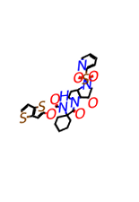 O=C(NC1(C(=O)N2CCC3C2C(=O)CN3S(=O)(=O)c2ccccn2)CCCCC1)Oc1cc2sccc2s1